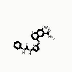 COc1cc2nccc(Sc3ccc(NC(=O)Nc4ccccc4)s3)c2cc1C(N)=O